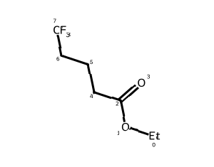 CCOC(=O)CCCC(F)(F)F